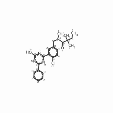 CCC(C)(C)C(=O)N(C)Cc1ccc(Cl)c(-c2nc(O)nc(-c3ccccc3)n2)c1